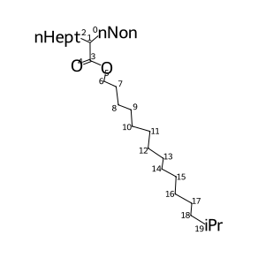 CCCCCCCCCC(CCCCCCC)C(=O)OCCCCCCCCCCCCCC(C)C